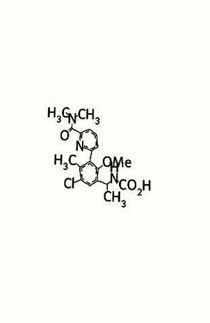 COc1c(C(C)NC(=O)O)cc(Cl)c(C)c1-c1cccc(C(=O)N(C)C)n1